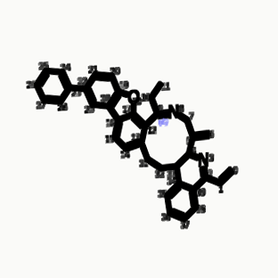 C=CC1=NC2C(=C)C/N=C(/CC)c3c(ccc4c3oc3ccc(-c5ccccc5)cc34)CCC2c2ccccc21